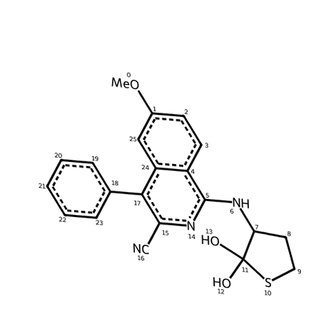 COc1ccc2c(NC3CCSC3(O)O)nc(C#N)c(-c3ccccc3)c2c1